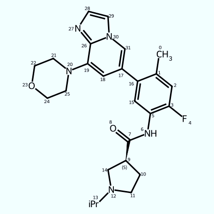 Cc1cc(F)c(NC(=O)[C@H]2CCN(C(C)C)C2)cc1-c1cc(N2CCOCC2)c2nccn2c1